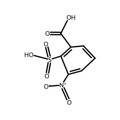 O=C(O)c1cccc([N+](=O)[O-])c1S(=O)(=O)O